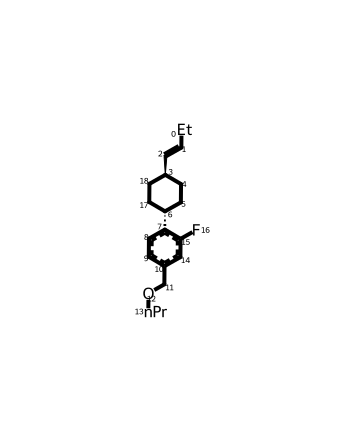 CCC=C[C@H]1CC[C@H](c2ccc(COCCC)cc2F)CC1